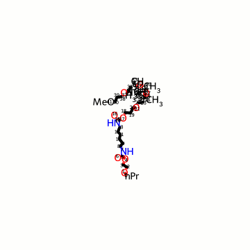 CCCOCCOC(=O)NCCCCCCNC(=O)OCCCOCC[Si](C)(C)O[Si](C)(C)O[Si](C)(C)CCOCCCOC